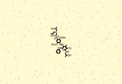 COc1cc(S(=O)(=O)CCN(CC(C)O)CC(C)O)c(OC)cc1/N=N/c1c(Nc2ccccc2)nc(NCC(C)O)c(C#N)c1C